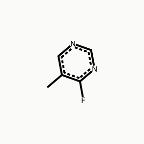 Cc1cncnc1F